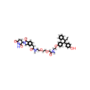 CC/C(=C(\c1ccc(O)cc1)c1ccc(OCCN(C)C(=O)COCCOCCN(C)C(=O)Cc2ccc3c(c2)CN(C2CCC(=O)NC2=O)C3=O)cc1)c1ccccc1